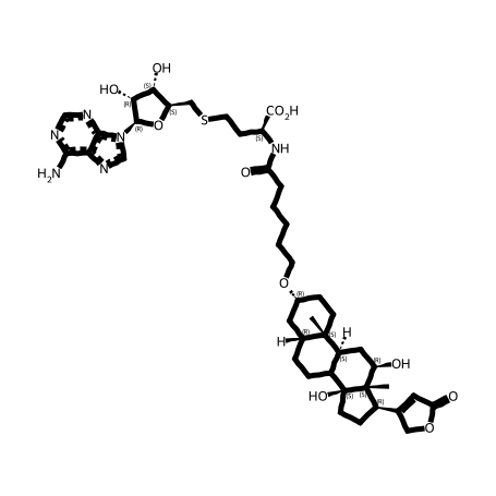 C[C@]12CC[C@@H](OCCCCCC(=O)N[C@@H](CCSC[C@H]3O[C@@H](n4cnc5c(N)ncnc54)[C@H](O)[C@@H]3O)C(=O)O)C[C@H]1CCC1[C@@H]2C[C@@H](O)[C@]2(C)[C@@H](C3=CC(=O)OC3)CC[C@]12O